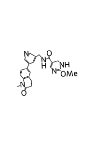 COC1=NC=C(C(=O)NCc2cncc(-c3ccc4c(c3)CCC(=O)N4C)c2)CN1